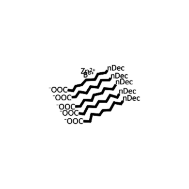 CCCCCCCCCCCCCCCCCC(=O)[O-].CCCCCCCCCCCCCCCCCC(=O)[O-].CCCCCCCCCCCCCCCCCC(=O)[O-].CCCCCCCCCCCCCCCCCC(=O)[O-].CCCCCCCCCCCCCCCCCC(=O)[O-].[B+3].[Zn+2]